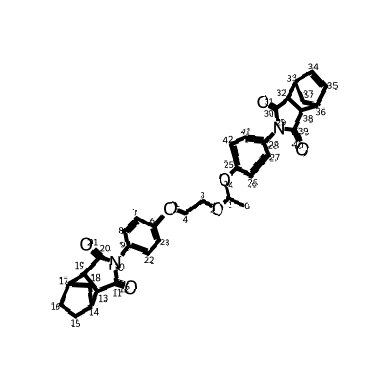 CC(OCCOc1ccc(N2C(=O)C3C4CCC(C4)C3C2=O)cc1)Oc1ccc(N2C(=O)C3C4C=CC(C4)C3C2=O)cc1